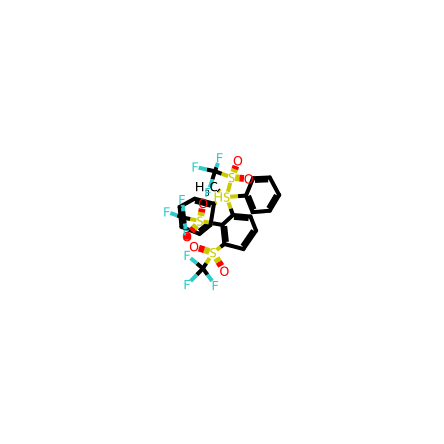 C[SH](c1ccccc1)(c1ccccc1)(c1cccc(S(=O)(=O)C(F)(F)F)c1S(=O)(=O)C(F)(F)F)S(=O)(=O)C(F)(F)F